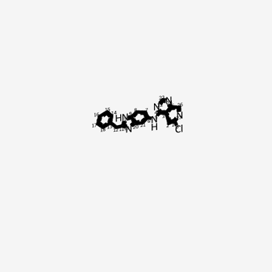 Clc1cc2c(Nc3ccc4[nH]c(Cc5ccccc5)nc4c3)ncnc2cn1